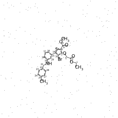 CCOC(=O)COc1c(C(=O)OC)sc(-c2cccc(NCc3ccc(C)cc3)c2)c1Br